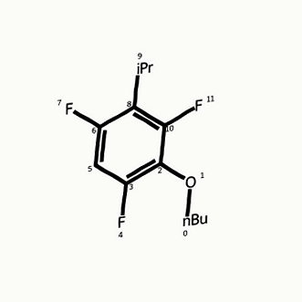 CCCCOc1c(F)cc(F)c(C(C)C)c1F